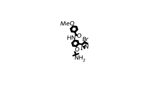 COc1ccc(C(=O)Nc2ccc(OCC(C)(C)N)c(-c3c(Br)cnn3C)c2)cc1